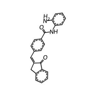 Nc1ccccc1NC(=O)c1ccc(/C=C2/Cc3ccccc3C2=O)cc1